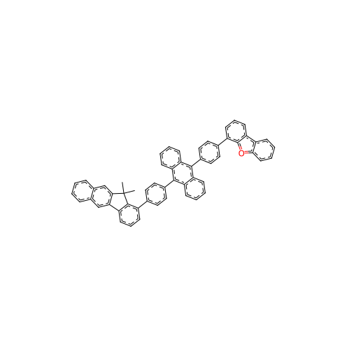 CC1(C)c2cc3ccccc3cc2-c2cccc(-c3ccc(-c4c5ccccc5c(-c5ccc(-c6cccc7c6oc6ccccc67)cc5)c5ccccc45)cc3)c21